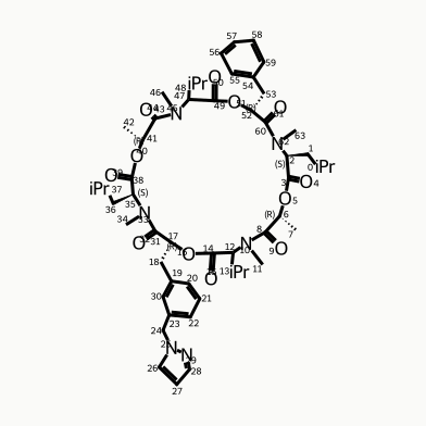 CC(C)C[C@H]1C(=O)O[C@H](C)C(=O)N(C)C(C(C)C)C(=O)O[C@H](Cc2cccc(Cn3cccn3)c2)C(=O)N(C)[C@@H](CC(C)C)C(=O)O[C@H](C)C(=O)N(C)C(C(C)C)C(=O)O[C@H](Cc2ccccc2)C(=O)N1C